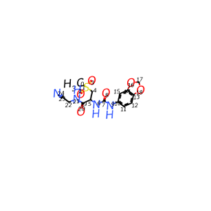 CS(=O)(=O)CC(NC(=O)Nc1ccc2c(c1)OCO2)C(=O)NCC#N